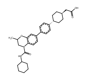 CC1CN(C(=O)NC2CCCCC2)c2ccc(-c3ccc([C@H]4CC[C@H](CC(=O)O)CC4)cc3)cc2O1